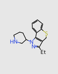 CCc1nn(C2CCCNC2)c2c1CSc1ccccc1-2